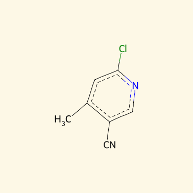 Cc1cc(Cl)ncc1C#N